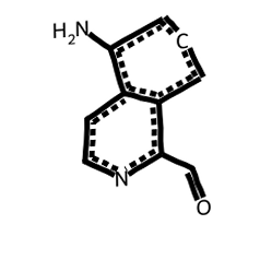 Nc1cccc2c(C=O)nccc12